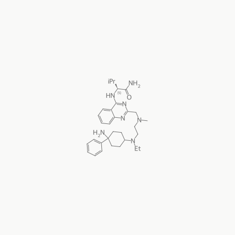 CCN(CCN(C)Cc1nc(N[C@H](C(N)=O)C(C)C)c2ccccc2n1)C1CCC(N)(c2ccccc2)CC1